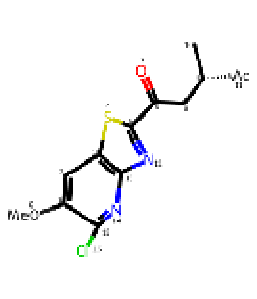 COc1cc2sc(C(=O)C[C@H](C)C(C)=O)nc2nc1Cl